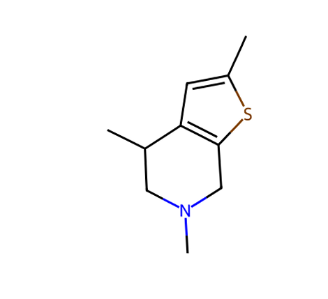 Cc1cc2c(s1)CN(C)CC2C